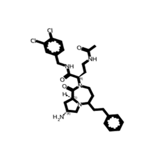 CC(=O)NCC[C@H](C(=O)NCc1ccc(Cl)c(Cl)c1)N1CCC(CCc2ccccc2)N2C[C@H](N)C[C@H]2C1=O